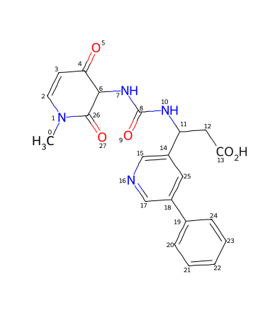 CN1C=CC(=O)C(NC(=O)NC(CC(=O)O)c2cncc(-c3ccccc3)c2)C1=O